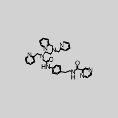 O=C(CN(CCN(Cc1ccccn1)Cc1ccccn1)Cc1ccccn1)Nc1ccc(CCNC(=O)c2cnccn2)cc1